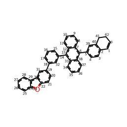 C1=Cc2ccc(-c3c4ccccc4c(-c4cccc(-c5ccc6oc7ccccc7c6c5)c4)c4ccccc34)cc2CC1